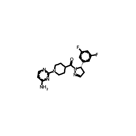 Nc1ccnc(N2CCC(C(=O)N3N=CC[C@H]3c3cc(F)cc(F)c3)CC2)n1